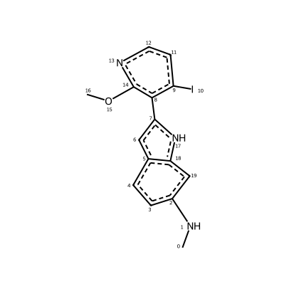 CNc1ccc2cc(-c3c(I)ccnc3OC)[nH]c2c1